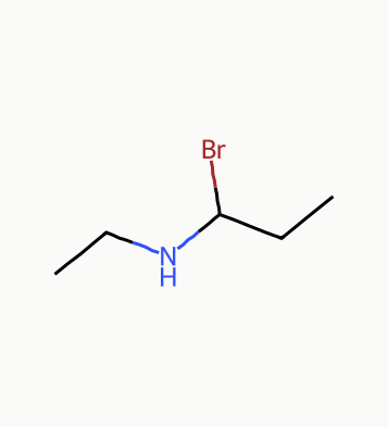 CCNC(Br)CC